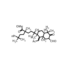 CCCC(C)(C)CC[C@@](C)(CCC(C)(C)[C@]1(C)CC[C@H]2C(C)(C)C(=O)C(C=O)C[C@]2(C)/C1=C/C(C)=O)C(=O)OC